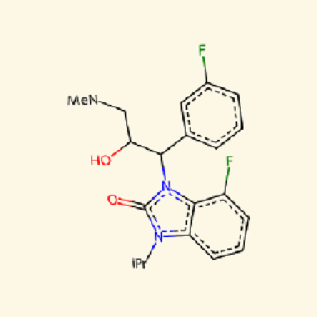 CNCC(O)C(c1cccc(F)c1)n1c(=O)n(C(C)C)c2cccc(F)c21